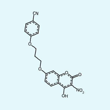 N#Cc1ccc(OCCCOc2ccc3c(O)c([N+](=O)[O-])c(=O)oc3c2)cc1